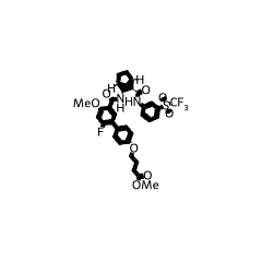 COC(=O)CCCOc1ccc(-c2cc(C(=O)N[C@@H]3[C@H]4CC[C@H](C4)[C@@H]3C(=O)Nc3cccc(S(=O)(=O)C(F)(F)F)c3)c(OC)cc2F)cc1